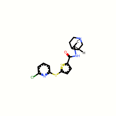 O=C(N[C@H]1CN2CCC1CC2)c1ccc(Sc2cccc(Cl)n2)s1